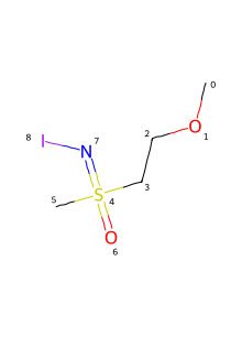 COCCS(C)(=O)=NI